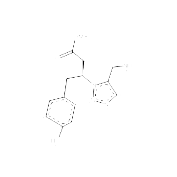 COC(=O)C[C@H](Cc1ccc(O)cc1)n1nncc1CN